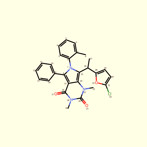 Cc1ccccc1-n1c(-c2ccccc2)c2c(=O)n(C)c(=O)n(C)c2c1C(C)c1ccc(Cl)o1